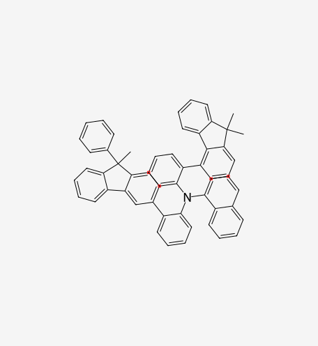 CC1(C)c2ccccc2-c2c(-c3ccccc3N(c3ccccc3-c3ccc4c(c3)-c3ccccc3C4(C)c3ccccc3)c3cccc4ccccc34)cccc21